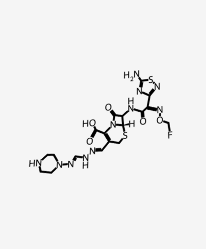 Nc1nc(/C(=N/OCF)C(=O)NC2C(=O)N3C(C(=O)O)=C(C=NNC=NN4CCNCC4)CS[C@@H]23)ns1